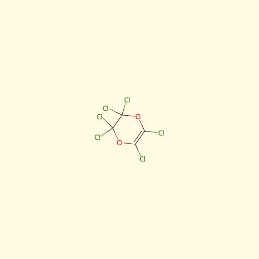 ClC1=C(Cl)OC(Cl)(Cl)C(Cl)(Cl)O1